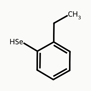 CCc1ccccc1[SeH]